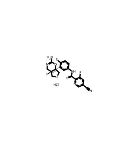 Cl.N#Cc1cnc(C(=O)Nc2ccc(F)c([C@]34COC[C@]3(F)CN=C(N)O4)c2)c(F)c1